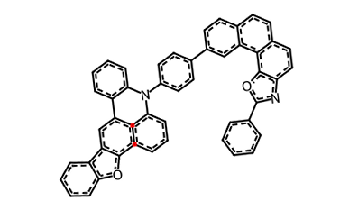 c1ccc(-c2nc3ccc4ccc5ccc(-c6ccc(N(c7ccccc7)c7ccccc7-c7ccc8oc9ccccc9c8c7)cc6)cc5c4c3o2)cc1